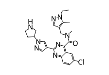 CCn1ncc(CN(C)C(=O)c2nc(-c3cnn(C4CCNC4)c3)nc3ccc(Cl)cc23)c1C